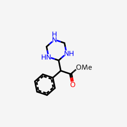 COC(=O)C(c1ccccc1)C1NCNCN1